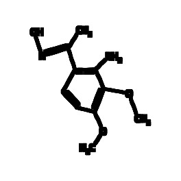 COc1ccc(C(C)=NO)c(N)c1OC